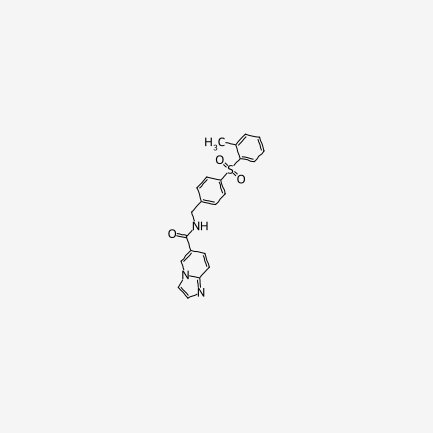 Cc1ccccc1S(=O)(=O)c1ccc(CNC(=O)c2ccc3nccn3c2)cc1